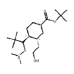 C[SiH](C)OC([C@H]1CCN(C(=O)OC(C)(C)C)C[C@@H]1CCO)C(C)(C)C